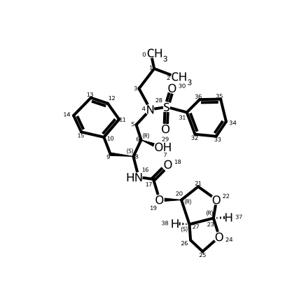 CC(C)CN(C[C@@H](O)[C@H](Cc1ccccc1)NC(=O)O[C@H]1CO[C@H]2OCC[C@H]21)S(=O)(=O)c1ccccc1